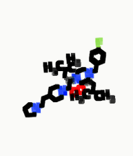 CC(C)C[C@H]1C(=O)N([C@@H](CC(C)C)C(=O)N2CCC(CCN3CCCC3)CC2)CCN1Cc1ccc(F)cc1